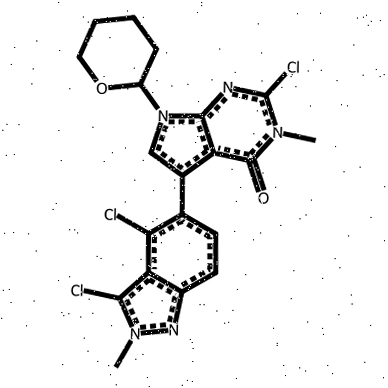 Cn1nc2ccc(-c3cn(C4CCCCO4)c4nc(Cl)n(C)c(=O)c34)c(Cl)c2c1Cl